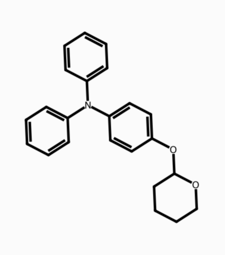 c1ccc(N(c2ccccc2)c2ccc(OC3CCCCO3)cc2)cc1